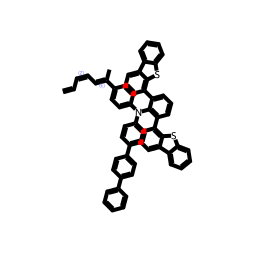 C=C/C=C\C=C(/C)c1ccc(N(c2ccc(-c3ccc(-c4ccccc4)cc3)cc2)c2c(-c3cccc4c3sc3ccccc34)cccc2-c2cccc3c2sc2ccccc23)cc1